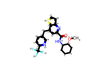 CO[C@@H]1CCCC[C@H]1NC(=O)c1cc(Cc2ccc(C(F)(F)F)nc2)c2sccc2n1